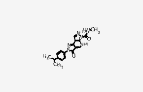 CNC(=O)n1ncc2c3nn(-c4ccc(C(C)C)cc4)c(=O)c-3c[nH]c21